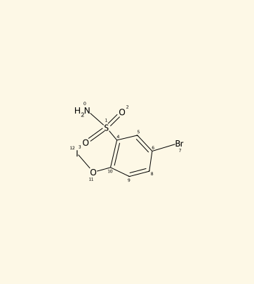 NS(=O)(=O)c1cc(Br)ccc1OI